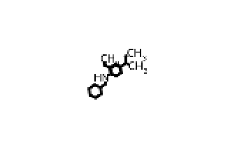 C=Cc1cc(C(C)CC)ccc1NCC1CCCCC1